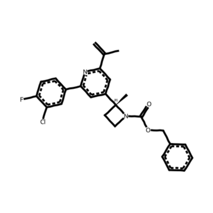 C=C(C)c1cc([C@@]2(C)CCN2C(=O)OCc2ccccc2)cc(-c2ccc(F)c(Cl)c2)n1